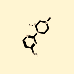 C[C@@H]1CN(C)CCN1c1nccc(N)n1